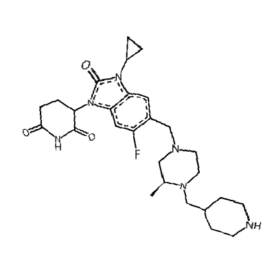 C[C@H]1CN(Cc2cc3c(cc2F)n(C2CCC(=O)NC2=O)c(=O)n3C2CC2)CCN1CC1CCNCC1